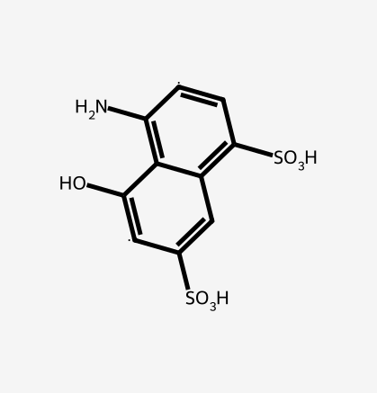 Nc1[c]cc(S(=O)(=O)O)c2cc(S(=O)(=O)O)[c]c(O)c12